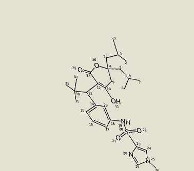 CC(C)CC1(CC(C)C)CC(O)=C(C(c2cccc(NS(=O)(=O)c3cn(C)cn3)c2)C(C)(C)C)C(=O)O1